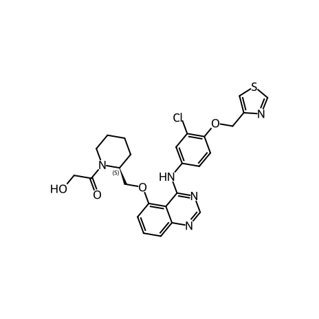 O=C(CO)N1CCCC[C@H]1COc1cccc2ncnc(Nc3ccc(OCc4cscn4)c(Cl)c3)c12